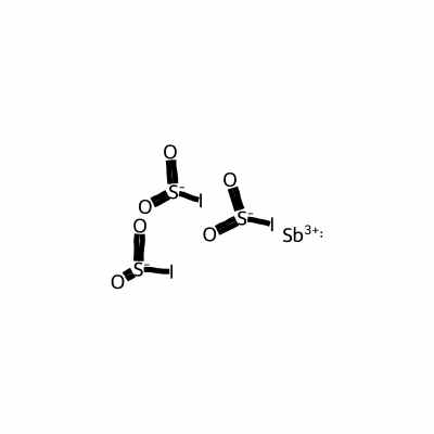 O=[S-](=O)I.O=[S-](=O)I.O=[S-](=O)I.[Sb+3]